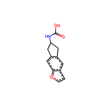 O=C(O)NC1Cc2cc3ccoc3cc2C1